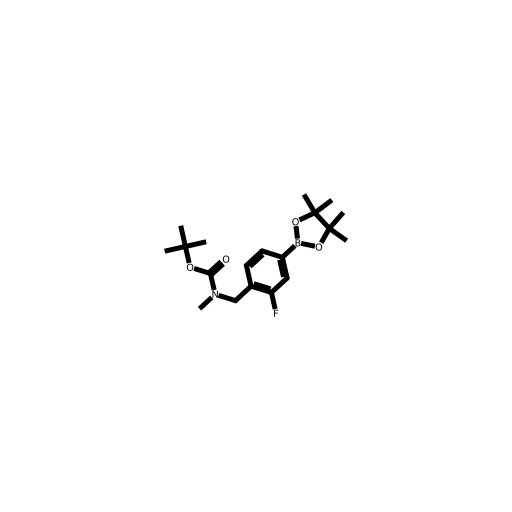 CN(Cc1ccc(B2OC(C)(C)C(C)(C)O2)cc1F)C(=O)OC(C)(C)C